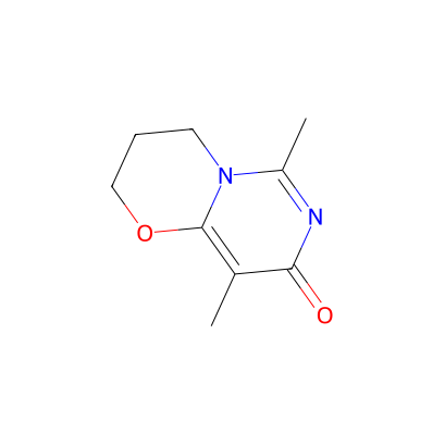 Cc1c2n(c(C)nc1=O)CCCO2